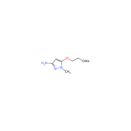 COCCOc1cc(N)nn1C